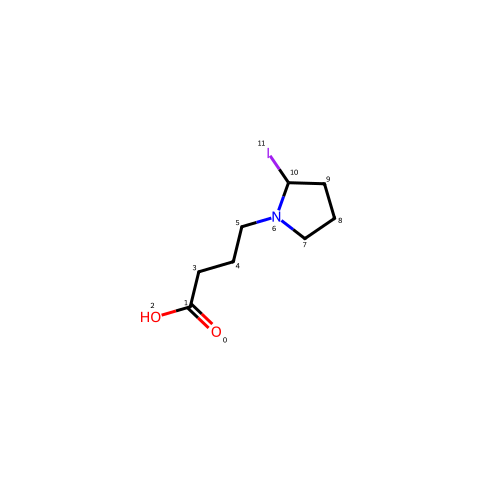 O=C(O)CCCN1CCCC1I